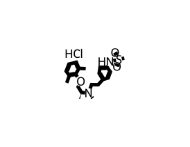 Cc1cccc(C)c1OC[C@@H](C)N(C)CCc1ccc(NS(C)(=O)=O)cc1.Cl